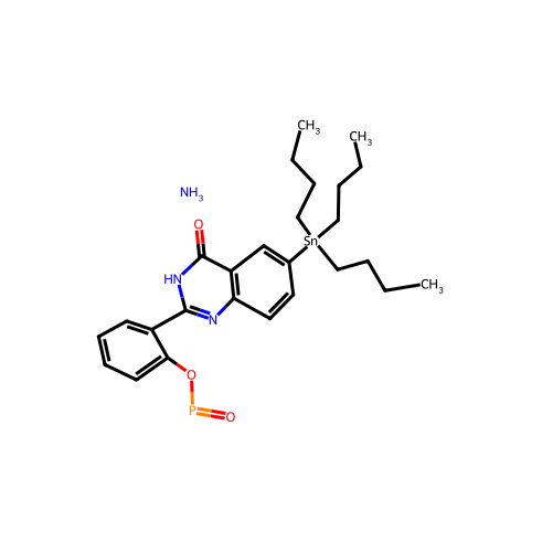 CCC[CH2][Sn]([CH2]CCC)([CH2]CCC)[c]1ccc2nc(-c3ccccc3OP=O)[nH]c(=O)c2c1.N